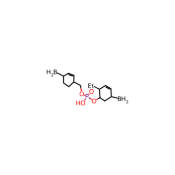 BC1C=CC(COP(=O)(O)OC2CC(B)C=CC2CC)CC1